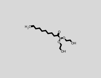 C=CCCCCCCCC(=O)N(OCCO)OCCO